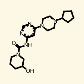 O=C(Nc1cc(N2CCN(C3CCCC3)CC2)ncn1)N1CCCC(O)C1